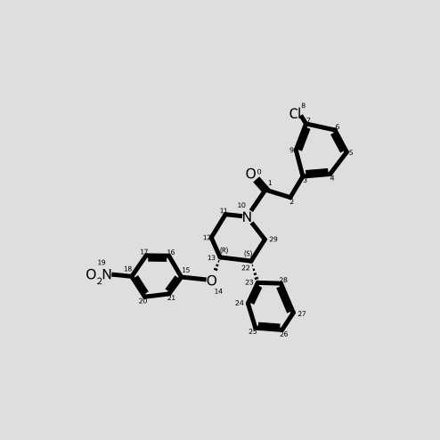 O=C(Cc1cccc(Cl)c1)N1CC[C@@H](Oc2ccc([N+](=O)[O-])cc2)[C@@H](c2ccccc2)C1